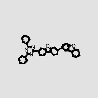 C1=C(c2ccc3oc4ccccc4c3c2)CCc2c1oc1cc(-c3nc(-c4ccccc4)nc(-c4ccccc4)n3)ccc21